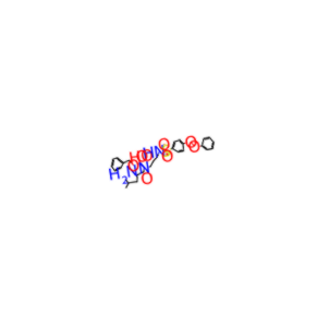 CC(C)C[C@H](N)C(=O)N(CC(O)CNS(=O)(=O)c1ccc(OOc2ccccc2)cc1)C(=O)OCc1ccccc1